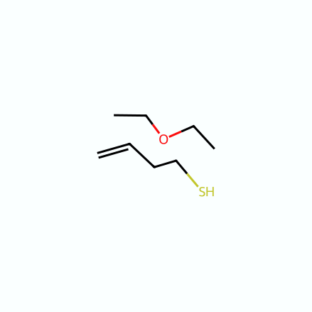 C=CCCS.CCOCC